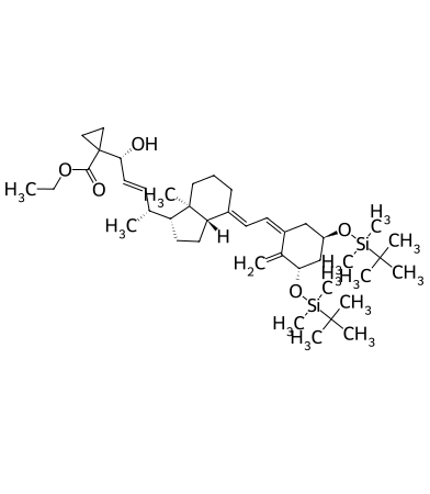 C=C1/C(=C\C=C2/CCC[C@]3(C)[C@@H]([C@H](C)/C=C/[C@@H](O)C4(C(=O)OCC)CC4)CC[C@@H]23)C[C@@H](O[Si](C)(C)C(C)(C)C)C[C@@H]1O[Si](C)(C)C(C)(C)C